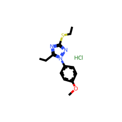 CCSc1nc(CC)n(-c2ccc(OC)cc2)n1.Cl